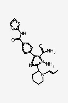 CC=CN1CCCCC1c1nc(-c2ccc(C(=O)Nc3nccs3)cc2)c(C(N)=O)n1N